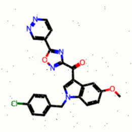 COc1ccc2c(c1)c(C(=O)c1noc(-c3ccnnc3)n1)cn2Cc1ccc(Cl)cc1